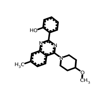 COC1CCN(c2nc(-c3ccccc3O)nc3cc(C)ccc23)CC1